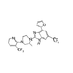 CC1CN(c2ncccc2C(F)(F)F)CCN1c1nc2c(-c3ccco3)cc(C(F)(F)F)cc2[nH]1